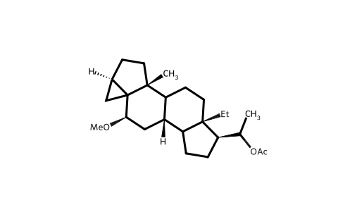 CC[C@]12CCC3[C@@H](C[C@@H](OC)C45C[C@H]4CC[C@]35C)C1CC[C@@H]2C(C)OC(C)=O